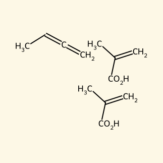 C=C(C)C(=O)O.C=C(C)C(=O)O.C=C=CC